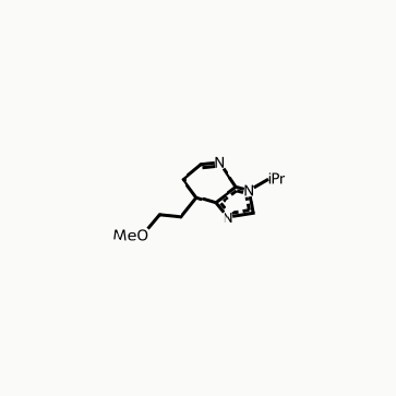 COCCC1CC=Nc2c1ncn2C(C)C